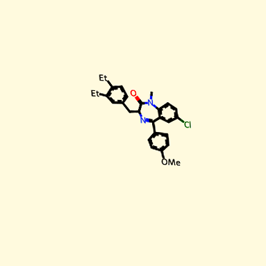 CCc1ccc(CC2N=C(c3ccc(OC)cc3)c3cc(Cl)ccc3N(C)C2=O)cc1CC